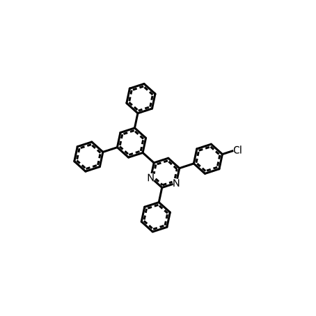 Clc1ccc(-c2cc(-c3cc(-c4ccccc4)cc(-c4ccccc4)c3)nc(-c3ccccc3)n2)cc1